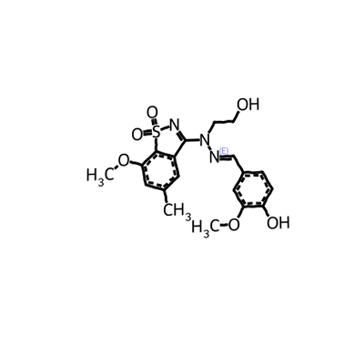 COc1cc(/C=N/N(CCO)C2=NS(=O)(=O)c3c(OC)cc(C)cc32)ccc1O